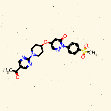 CC(=O)c1cnc(N2CCC(Oc3cnn(-c4ccc(S(C)(=O)=O)cc4)c(=O)c3)CC2)nc1